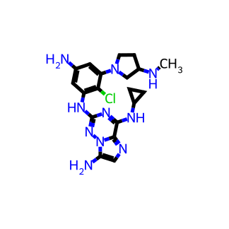 CNC1CCN(c2cc(N)cc(Nc3nc(NC4CC4)c4ncc(N)n4n3)c2Cl)C1